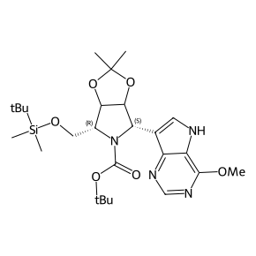 COc1ncnc2c([C@H]3C4OC(C)(C)OC4[C@@H](CO[Si](C)(C)C(C)(C)C)N3C(=O)OC(C)(C)C)c[nH]c12